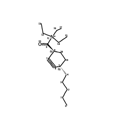 CCCCC[C@@H]1C#C[C@@H](C(=O)[N+](CC)(CC)CC)CC1